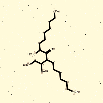 CCCCCCCCCCCCCCCCC(C(=O)O)C(=O)C(CCCCCCCCCCCCCCCC)C(CCCCCCCC)CCCCCCCCCCC